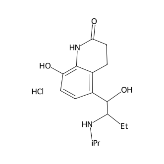 CCC(NC(C)C)C(O)c1ccc(O)c2c1CCC(=O)N2.Cl